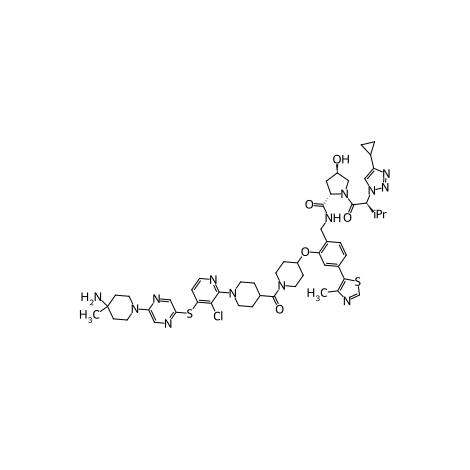 Cc1ncsc1-c1ccc(CNC(=O)[C@@H]2C[C@@H](O)CN2C(=O)[C@H](C(C)C)n2cc(C3CC3)nn2)c(OC2CCN(C(=O)C3CCN(c4nccc(Sc5cnc(N6CCC(C)(N)CC6)cn5)c4Cl)CC3)CC2)c1